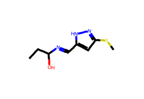 CCC(O)/N=C/c1cc(SC)n[nH]1